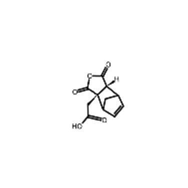 O=C(O)C[C@@]12C(=O)OC(=O)[C@@H]1C1C=CC2C1